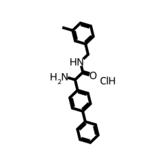 Cc1cccc(CNC(=O)C(N)c2ccc(-c3ccccc3)cc2)c1.Cl